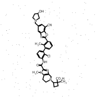 Cc1c(-c2nc3cc(CN4CC[C@@H](O)C4)cc(C#N)c3o2)cccc1-c1cccc(NC(=O)c2nc3c(n2C)CCN(C2CCC2(C)C(=O)O)C3)c1Cl